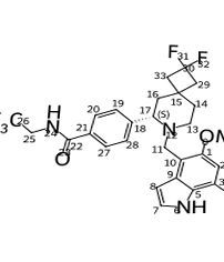 COc1cc(C)c2[nH]ccc2c1CN1CCC2(C[C@H]1c1ccc(C(=O)NCC(F)(F)F)cc1)CC(F)(F)C2